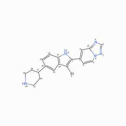 CCc1c(-c2ccn3ncnc3c2)[nH]c2ccc(C3CCNCC3)cc12